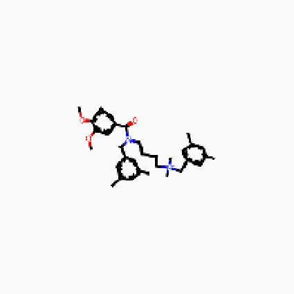 COc1ccc(C(=O)N(CCCC[N+](C)(C)Cc2cc(C)cc(C)c2)Cc2cc(C)cc(C)c2)cc1OC